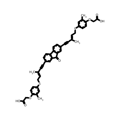 CC(C#Cc1ccc2c(c1)C(=O)c1cc(C#CC(C)=CCSc3ccc(OCC(=O)O)c(C)c3)ccc1-2)=CCSc1ccc(OCC(=O)O)c(C)c1